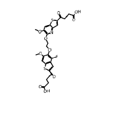 COc1cc2sc(C(=O)CCC(=O)O)cc2nc1OCCOc1c(OC)cc2sc(C(=O)CCC(=O)O)cc2c1F